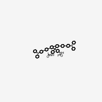 O=C(F)Nc1ccc(C2(c3ccc(NC(=O)I)cc3)c3cc(-c4ccc(-c5ccc(N(c6ccccc6)c6ccccc6)cc5)cc4)ccc3-c3ccc(-c4ccc(-c5ccc(N(c6ccccc6)c6ccccc6)cc5)cc4)cc32)cc1